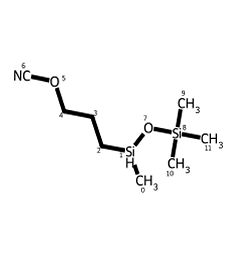 C[SiH](CCCOC#N)O[Si](C)(C)C